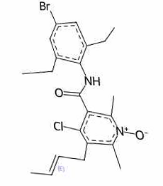 C/C=C/Cc1c(Cl)c(C(=O)Nc2c(CC)cc(Br)cc2CC)c(C)[n+]([O-])c1C